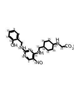 O=Nc1cnc(NCc2ccccc2O)nc1NCC1CCC(NCC(=O)O)CC1